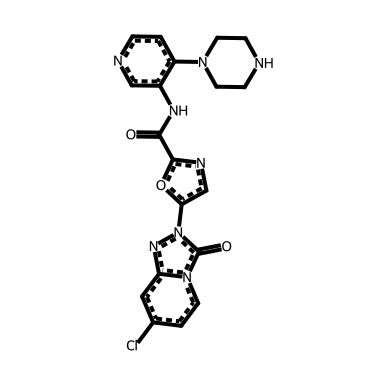 O=C(Nc1cnccc1N1CCNCC1)c1ncc(-n2nc3cc(Cl)ccn3c2=O)o1